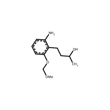 COCOc1cccc(N)c1CCC(C)O